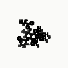 CNc1ncc(I)c(COC(C)=O)c1C(=O)OC(C)(C)C.c1ccc2c(c1)O2